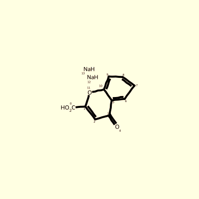 O=C(O)c1cc(=O)c2ccccc2o1.[NaH].[NaH]